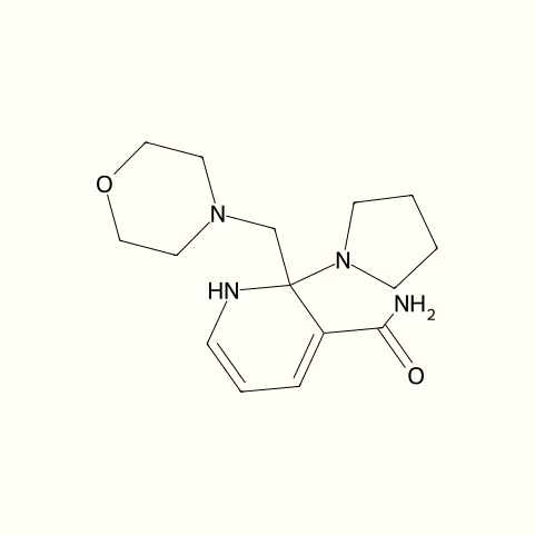 NC(=O)C1=CC=CNC1(CN1CCOCC1)N1CCCC1